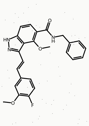 COc1cc(/C=C/c2n[nH]c3ccc(C(=O)NCc4ccccc4)c(OC)c23)ccc1F